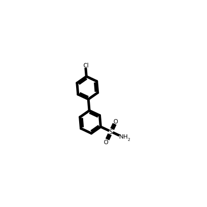 NS(=O)(=O)c1cccc(-c2ccc(Cl)cc2)c1